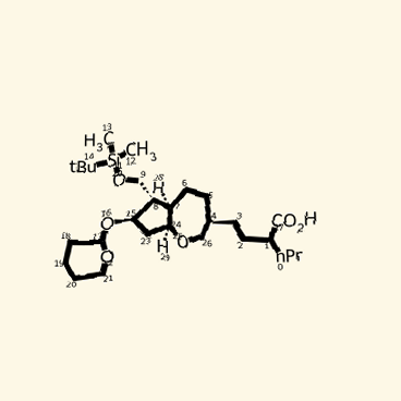 CCCC(CC[C@@H]1CC[C@@H]2[C@@H](CO[Si](C)(C)C(C)(C)C)[C@H](OC3CCCCO3)C[C@@H]2OC1)C(=O)O